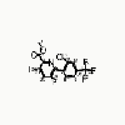 COC(=O)c1nc(-c2ccc(C(F)(F)F)cc2Cl)c(F)cc1F